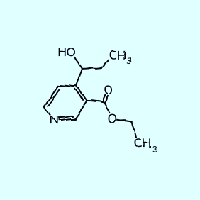 CCOC(=O)c1cnccc1C(O)CC